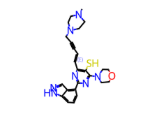 CN1CCN(CC#C/C=C/c2nc(-c3cccc4[nH]ncc34)nc(N3CCOCC3)c2S)CC1